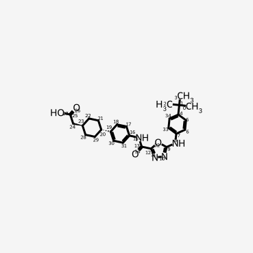 CC(C)(C)c1ccc(Nc2nnc(C(=O)Nc3ccc([C@H]4CC[C@H](CC(=O)O)CC4)cc3)o2)cc1